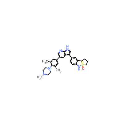 Cc1cc(-c2cnc3[nH]cc(-c4ccc5c(c4)C4CCC[SH]4(=O)N5)c3c2)cc(C)c1N1CCN(C)CC1